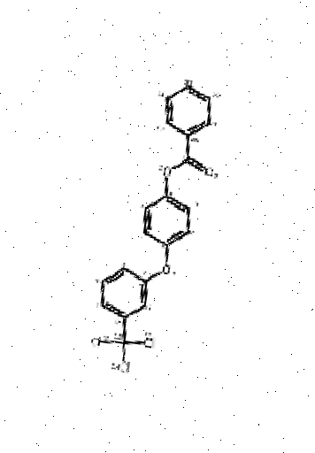 O=C(Oc1ccc(Oc2cccc(C(Cl)(Cl)Cl)c2)cc1)c1ccccc1